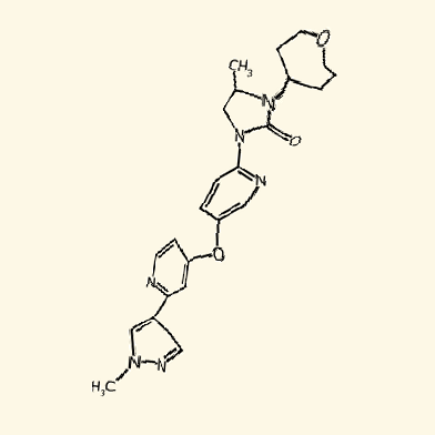 CC1CN(c2ccc(Oc3ccnc(-c4cnn(C)c4)c3)cn2)C(=O)N1C1CCOCC1